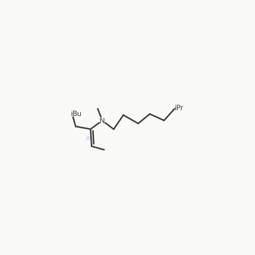 C/C=C(/CC(C)CC)N(C)CCCCCC(C)C